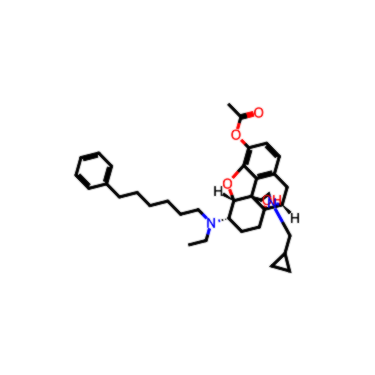 CCN(CCCCCCc1ccccc1)[C@H]1CC[C@@]2(O)[C@H]3Cc4ccc(OC(C)=O)c5c4[C@@]2(CCN3CC2CC2)[C@H]1O5